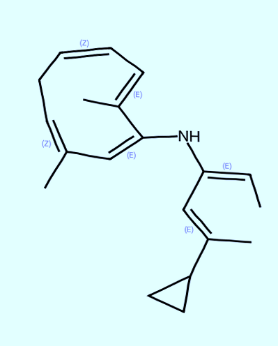 C/C=C(\C=C(/C)C1CC1)NC1=C/C(C)=C\C/C=C\C=C\1C